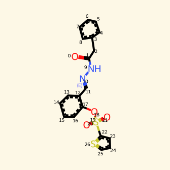 O=C(Cc1ccccc1)N/N=C/c1ccccc1OS(=O)(=O)c1cccs1